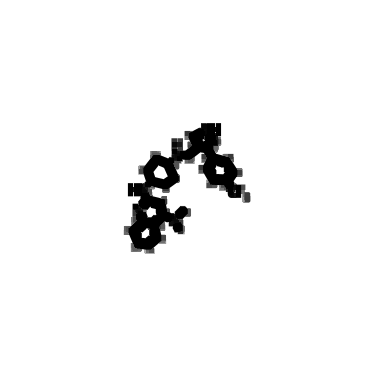 CN(C)c1cc(N[C@H]2CC[C@@H](NCc3c[nH]nc3-c3ccc(C(F)(F)F)cc3)CC2)nc2ccccc12